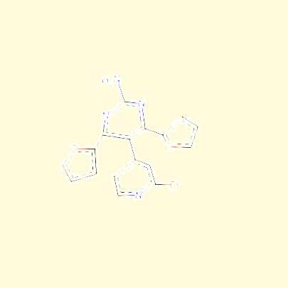 Nc1nc(-c2ccco2)c(-c2ccnc(Br)c2)c(-c2ccco2)n1